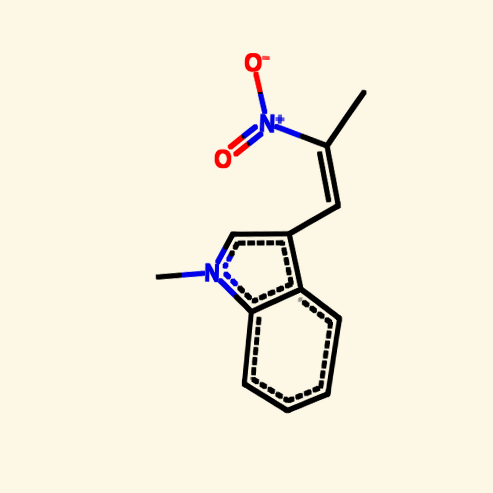 CC(=Cc1cn(C)c2ccccc12)[N+](=O)[O-]